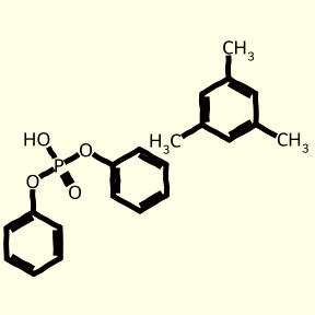 Cc1cc(C)cc(C)c1.O=P(O)(Oc1ccccc1)Oc1ccccc1